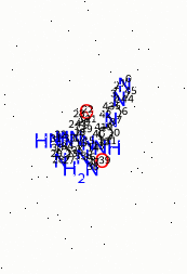 CN1CCN(C2CCN(c3ccc(Nc4nc(NC5CC6(COC6)C5)c(-c5cncc6[nH]cnc56)nc4C(N)=O)cc3)CC2)CC1